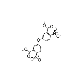 COC(=O)c1cc(Oc2ccc([N+](=O)[O-])c(C(=O)OC)c2)ccc1[N+](=O)[O-]